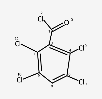 O=C(Cl)c1c(Cl)c(Cl)cc(Cl)c1Cl